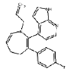 C=CCN1C=CCCC(c2ccc(F)cc2)=C1c1ccnc2[nH]ccc12